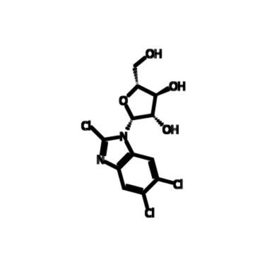 OC[C@H]1O[C@@H](n2c(Cl)nc3cc(Cl)c(Cl)cc32)[C@@H](O)[C@@H]1O